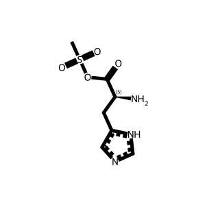 CS(=O)(=O)OC(=O)[C@@H](N)Cc1cnc[nH]1